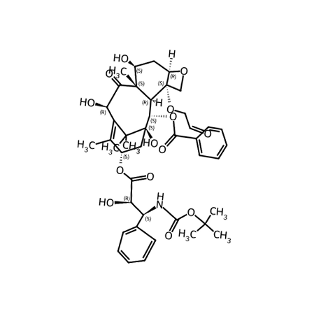 CC1=C2[C@@H](O)C(=O)[C@@]3(C)[C@H]([C@H](OC(=O)c4ccccc4)[C@](O)(C[C@@H]1OC(=O)[C@H](O)[C@@H](NC(=O)OC(C)(C)C)c1ccccc1)C2(C)C)[C@]1(OCC=O)CO[C@@H]1C[C@@H]3O